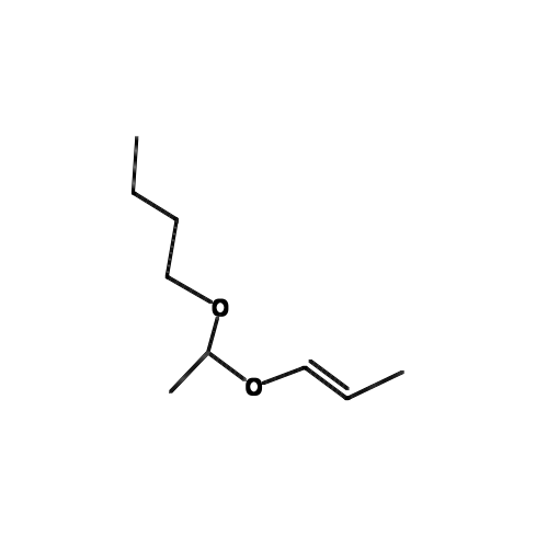 CC=COC(C)OCCCC